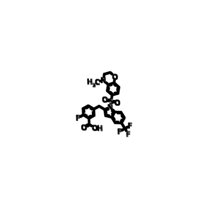 CN1CCOc2ccc(S(=O)(=O)n3c(Cc4ccc(F)c(C(=O)O)c4)cc4cc(C(F)(F)F)ccc43)cc21